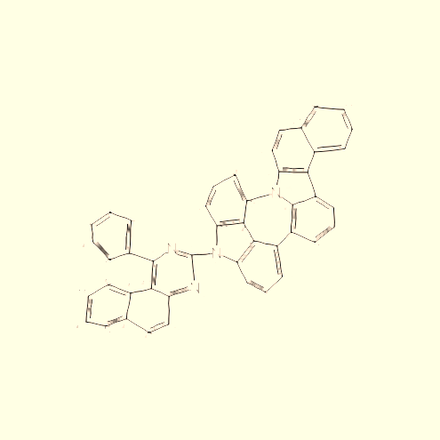 c1ccc(-c2nc(-n3c4cccc5c6cccc7c8c9ccccc9ccc8n(c8cccc3c8c54)c67)nc3ccc4ccccc4c23)cc1